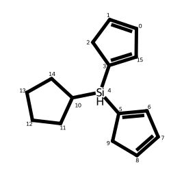 C1=CCC([SiH](C2=CC=CC2)C2CCCC2)=C1